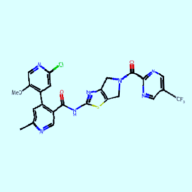 COc1cnc(Cl)cc1-c1cc(C)ncc1C(=O)Nc1nc2c(s1)CN(C(=O)c1ncc(C(F)(F)F)cn1)C2